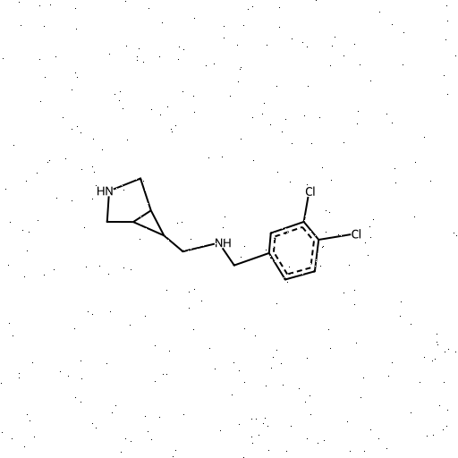 Clc1ccc(CNCC2C3CNCC23)cc1Cl